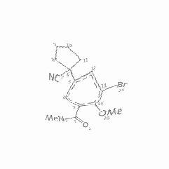 CNC(=O)c1cc(C2(C#N)CCCC2)cc(Br)c1OC